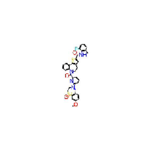 COc1ccc2c(c1)[S+]([O-])CCN(c1cccc(C(=O)N3CCc4cc(C(=O)Nc5c(C)cccc5F)sc4-c4ccccc43)n1)C2